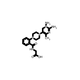 CC1=C(N2CCN(c3ccccc3C(=O)NCC(=O)O)CC2)CN(N)C(N)=N1